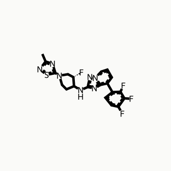 Cc1nsc(N2CCC(Nc3nc4c(-c5ccc(F)c(F)c5F)cccn4n3)[C@@H](F)C2)n1